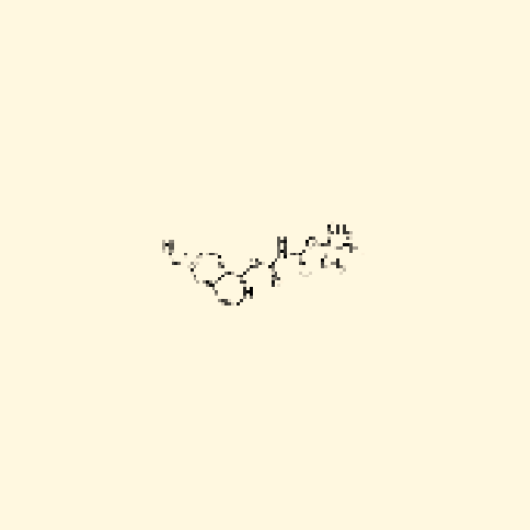 CC(C)(C)OC(=O)NC(=O)Oc1nccc2cc(CN)ccc12